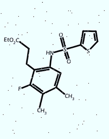 CCOC(=O)CCc1c(NS(=O)(=O)c2cccs2)cc(C)c(C)c1F